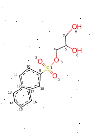 O=S(=O)(OCC(O)CO)c1ccc2ccccc2c1